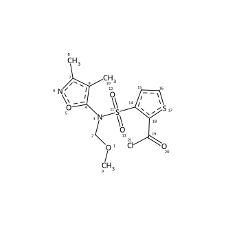 COCN(c1onc(C)c1C)S(=O)(=O)c1ccsc1C(=O)Cl